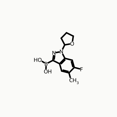 Cc1cc2c(B(O)O)nn(C3CCCO3)c2cc1F